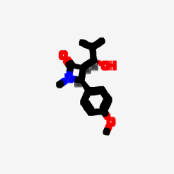 COc1ccc([C@@H]2[C@H]([C@@H](O)C(C)C)C(=O)N2C)cc1